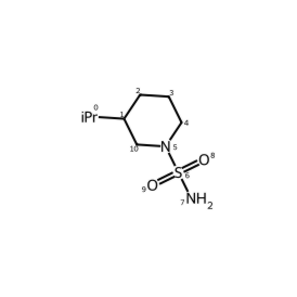 CC(C)C1CCCN(S(N)(=O)=O)C1